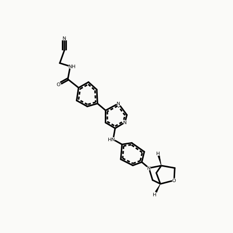 N#CCNC(=O)c1ccc(-c2cc(Nc3ccc(N4C[C@@H]5C[C@H]4CO5)cc3)ncn2)cc1